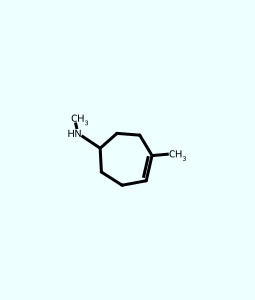 CNC1CCC=C(C)CC1